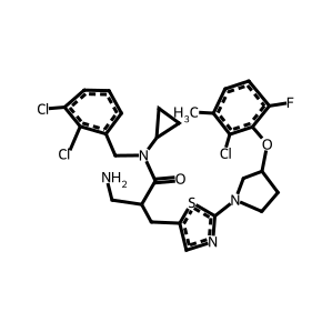 Cc1ccc(F)c(OC2CCN(c3ncc(CC(CN)C(=O)N(Cc4cccc(Cl)c4Cl)C4CC4)s3)C2)c1Cl